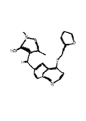 Cc1nn(C)c(O)c1C(=O)c1ccc2nccc(OCC3CCCO3)c2c1